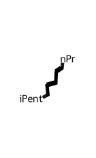 CCCC=CC=CCC(C)CCC